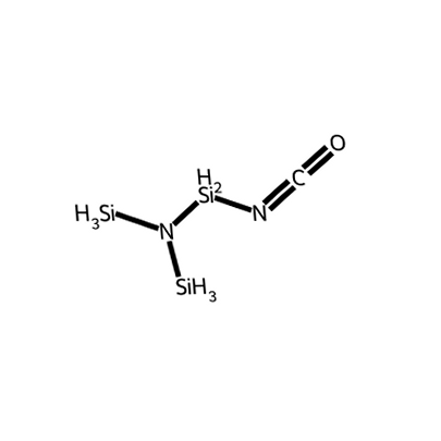 O=C=N[SiH2]N([SiH3])[SiH3]